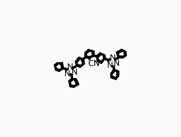 N#Cc1c(-c2ccc(-c3nc(-c4ccccc4)nc(-c4ccccc4)n3)cc2)cccc1-c1ccc(-c2nc(-c3ccccc3)nc(-c3ccccc3)n2)cc1